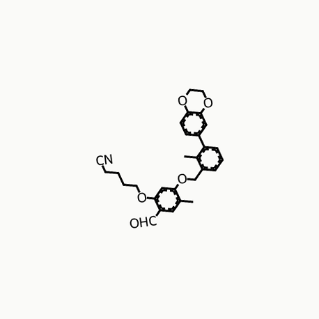 Cc1cc(C=O)c(OCCCCC#N)cc1OCc1cccc(-c2ccc3c(c2)OCCO3)c1C